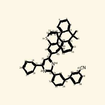 CC1(C)c2ccccc2C2(c3ccccc3Sc3cc(-c4cc(-c5ccccc5)nc(-c5cccc(-c6cccc(C#N)c6)c5)n4)ccc32)c2ccccc21